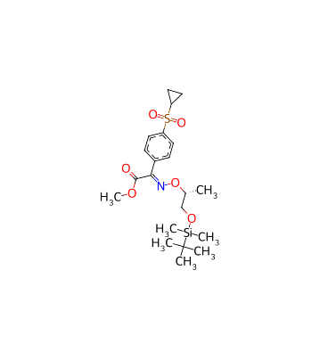 COC(=O)/C(=N/O[C@H](C)CO[Si](C)(C)C(C)(C)C)c1ccc(S(=O)(=O)C2CC2)cc1